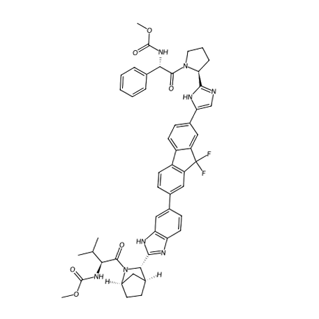 COC(=O)N[C@H](C(=O)N1CCC[C@H]1c1ncc(-c2ccc3c(c2)C(F)(F)c2cc(-c4ccc5nc([C@@H]6[C@H]7CC[C@H](C7)N6C(=O)[C@@H](NC(=O)OC)C(C)C)[nH]c5c4)ccc2-3)[nH]1)c1ccccc1